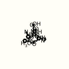 CCOC(=O)CCc1cc(OC2=C3NC(=O)C(CCC(=O)O)N=C3NC(Oc3cc(C#N)ccc3OCc3ccccc3)=N2)cc(C2N=CCCN2)c1